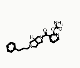 NC(=O)Oc1ncccc1C(=O)N1CC2CN(CC[CH]c3ccccc3)C[C@H]2C1